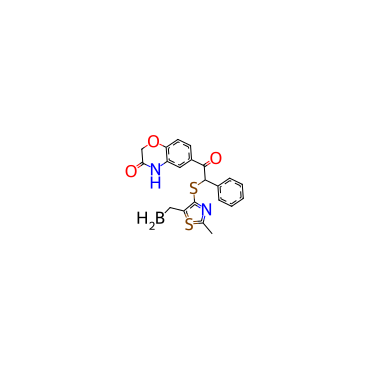 BCc1sc(C)nc1SC(C(=O)c1ccc2c(c1)NC(=O)CO2)c1ccccc1